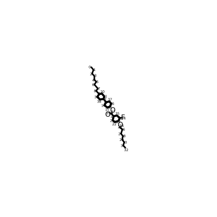 CCCCCCCCCc1ccc(-c2ccc(OC(=O)c3ccc(OCCCCCCCC)c(F)c3)cc2)cc1